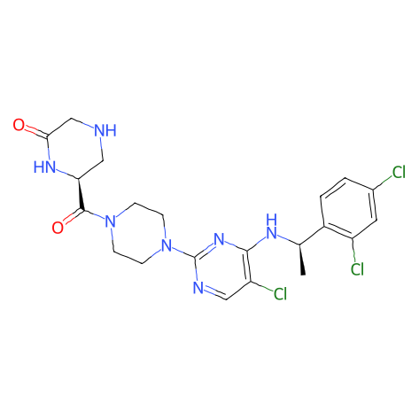 C[C@@H](Nc1nc(N2CCN(C(=O)[C@@H]3CNCC(=O)N3)CC2)ncc1Cl)c1ccc(Cl)cc1Cl